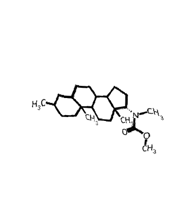 COC(=O)N(C)[C@H]1CCC2C3CCC4CC(C)CCC4(C)C3CCC21C